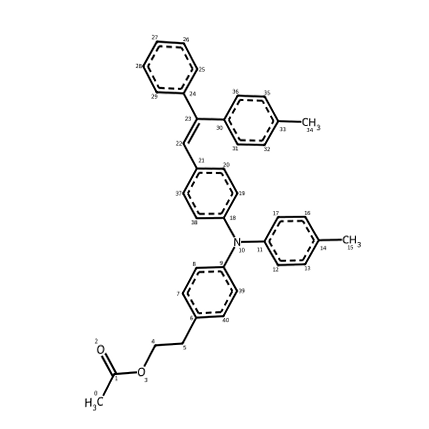 CC(=O)OCCc1ccc(N(c2ccc(C)cc2)c2ccc(C=C(c3ccccc3)c3ccc(C)cc3)cc2)cc1